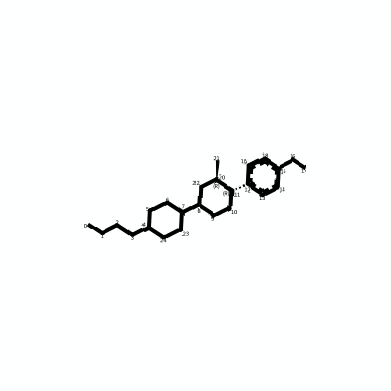 CCCCC1CCC(C2CC[C@@H](c3ccc(CC)cc3)[C@H](C)C2)CC1